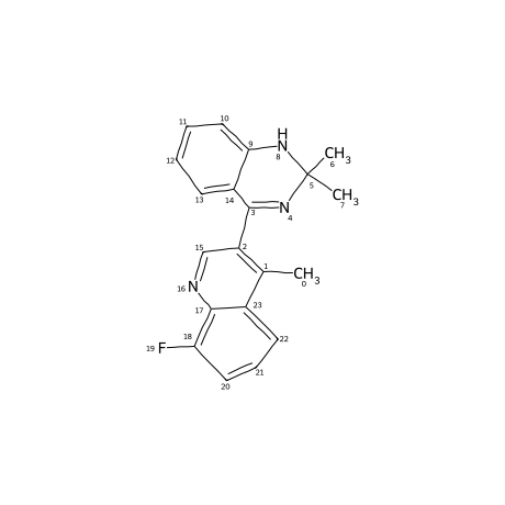 Cc1c(C2=NC(C)(C)Nc3ccccc32)cnc2c(F)cccc12